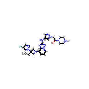 CN1CCN(C(=O)Cn2cc(Nc3nc4c(N5CC(CC#N)(n6cc(F)cn6)C5)cccn4n3)cn2)CC1